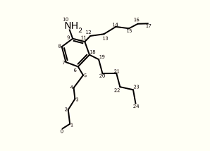 CCCCCCc1ccc(N)c(CCCCCC)c1CCCCCC